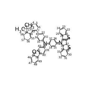 CC1(C)c2cccc(-c3ccc(N(c4ccc(N5c6c(sc7ccccc67)C6Sc7ccccc7C65)cc4)c4ccc5c(c4)OC4C=CC=CC54)cc3)c2C2=CCCCC21